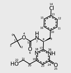 CC(C)(C)OC(=O)N[C@@H](Cc1ccc(Cl)cc1)c1nc(CCO)cc(=O)[nH]1